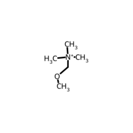 COC[N+](C)(C)C